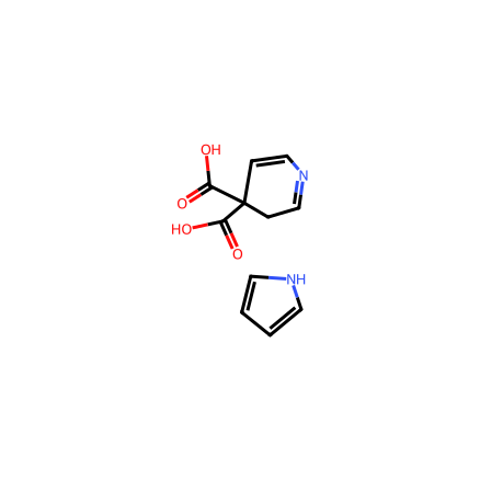 O=C(O)C1(C(=O)O)C=CN=CC1.c1cc[nH]c1